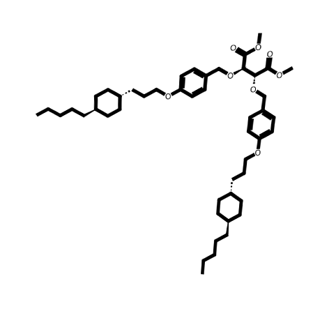 CCCCC[C@H]1CC[C@H](CCCOc2ccc(CO[C@@H](C(=O)OC)[C@@H](OCc3ccc(OCCC[C@H]4CC[C@H](CCCCC)CC4)cc3)C(=O)OC)cc2)CC1